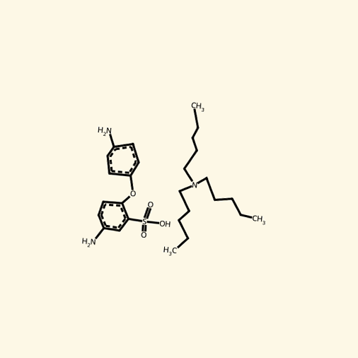 CCCCCN(CCCCC)CCCCC.Nc1ccc(Oc2ccc(N)cc2S(=O)(=O)O)cc1